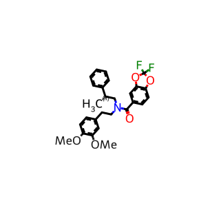 COc1ccc(CCN(C[C@H](C)c2ccccc2)C(=O)c2ccc3c(c2)OC(F)(F)O3)cc1OC